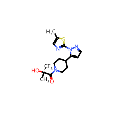 Cc1cnc(-n2nccc2C2CCN(C(=O)[C@@](C)(O)C(F)(F)F)CC2)s1